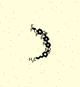 C/C=C/CCC1CCC(C(F)(F)Oc2ccc(-c3ccc(C(F)(F)Oc4ccc(OC=C(F)F)c(F)c4)c(F)c3)c(F)c2)CC1